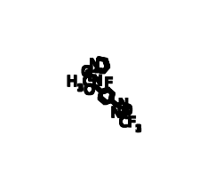 CS(=O)(=NC(=O)c1ccc(-c2noc(C(F)(F)F)n2)cc1F)c1ccccn1